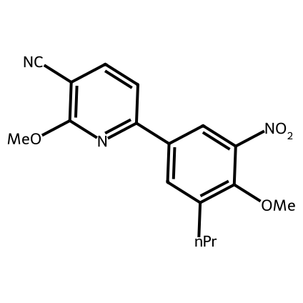 CCCc1cc(-c2ccc(C#N)c(OC)n2)cc([N+](=O)[O-])c1OC